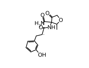 CC1OCC(=O)C1(NC(=O)[CH]Cc1cccc(O)c1)C(N)=O